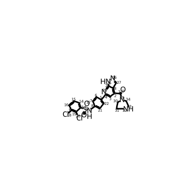 O=C(c1cc(-c2ccc(NS(=O)(=O)c3cccc(Cl)c3Cl)cc2)nc2[nH]ncc12)N1CCNCC1